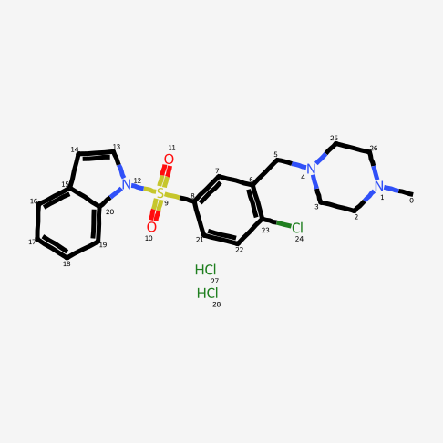 CN1CCN(Cc2cc(S(=O)(=O)n3ccc4ccccc43)ccc2Cl)CC1.Cl.Cl